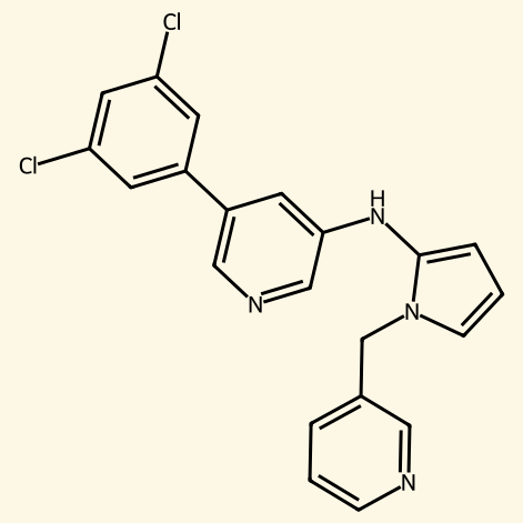 Clc1cc(Cl)cc(-c2cncc(Nc3cccn3Cc3cccnc3)c2)c1